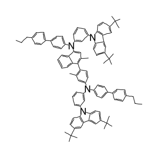 CCCc1ccc(-c2ccc(N(c3cccc(-n4c5ccc(C(C)(C)C)cc5c5cc(C(C)(C)C)ccc54)c3)c3ccc(-c4c(C)cc(N(c5ccc(-c6ccc(CCC)cc6)cc5)c5cccc(-n6c7ccc(C(C)(C)C)cc7c7cc(C(C)(C)C)ccc76)c5)c5ccccc45)c(C)c3)cc2)cc1